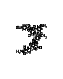 CC(C)(C)c1ccc(S(=O)(=O)Nc2cc(Cl)cnc2C(=O)c2cc(CC(C)(C)c3ccc(S(=O)(=O)Nc4cc(Cl)cnc4C(=O)c4cccc(NC(N)=O)n4)cc3)cc(N)n2)cc1